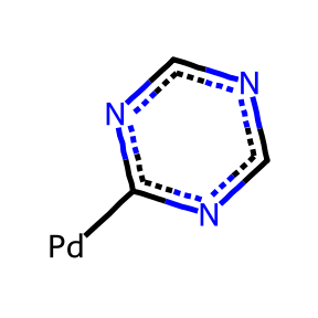 [Pd][c]1ncncn1